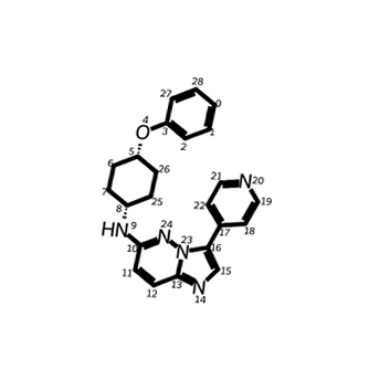 c1ccc(O[C@H]2CC[C@@H](Nc3ccc4ncc(-c5ccncc5)n4n3)CC2)cc1